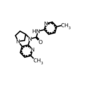 Cc1ccc(NC(=O)N2c3nc(C)ccc3N3CCC2C3)nc1